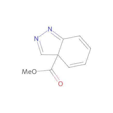 COC(=O)C12C=CC=CC1=NN=C2